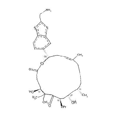 CCC[C@H]1C(=O)C(C)(C)[C@@H](O)CC(=O)O[C@H](c2ccc3sc(CN)nc3c2)CC=C(C)CCC[C@H](C)[C@@H]1O